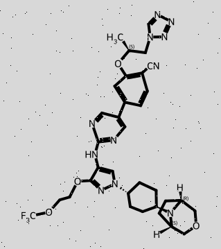 C[C@@H](Cn1cnnn1)Oc1cc(-c2cnc(Nc3cn([C@H]4CC[C@H](N5[C@@H]6CC[C@H]5COC6)CC4)nc3OCCOC(F)(F)F)nc2)ccc1C#N